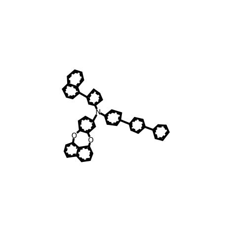 c1ccc(-c2ccc(-c3ccc(N(c4cccc(-c5cccc6ccccc56)c4)c4ccc5c(c4)Oc4cccc6cccc(c46)O5)cc3)cc2)cc1